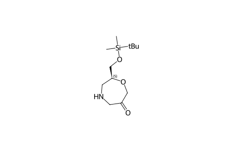 CC(C)(C)[Si](C)(C)OC[C@@H]1CNCC(=O)CO1